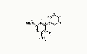 CCc1c(N)nc(NC)nc1-c1ccccc1